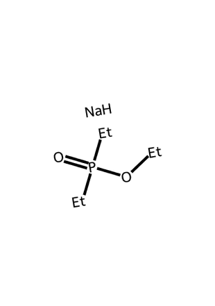 CCOP(=O)(CC)CC.[NaH]